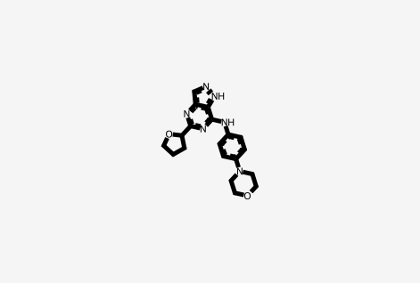 c1cc(N2CCOCC2)ccc1Nc1nc(C2CCCO2)nc2cn[nH]c12